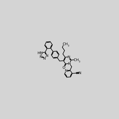 CCCCc1nc(C)n(Cc2ncccc2C#N)c(=O)c1Cc1ccc(-c2ccccc2-c2nnn[nH]2)cc1